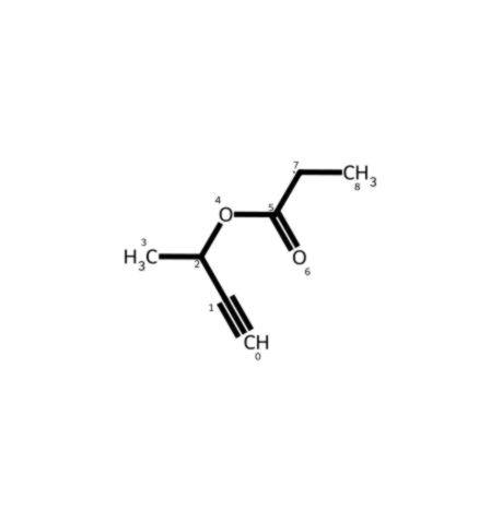 C#CC(C)OC(=O)[CH]C